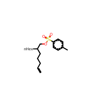 C=CCCCC(CCCCCC)COS(=O)(=O)c1ccc(C)cc1